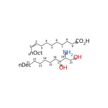 CCCCCCCC/C=C\CCCCCCCC(=O)O.CCCCCCCCCCCCCCC[C@@H](O)[C@@H](N)CO